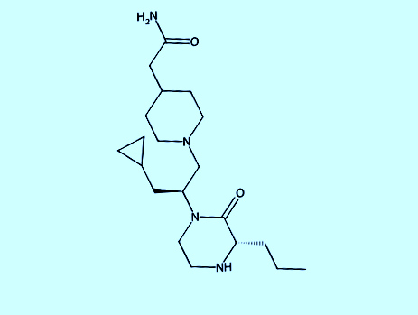 CCC[C@@H]1NCCN([C@@H](CC2CC2)CN2CCC(CC(N)=O)CC2)C1=O